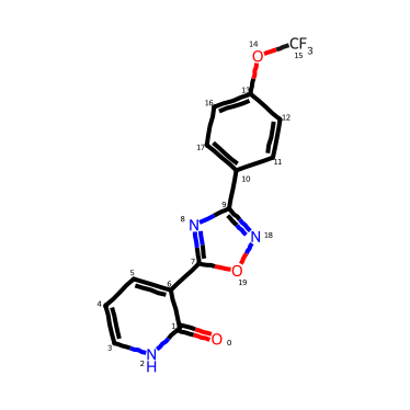 O=c1[nH]cccc1-c1nc(-c2ccc(OC(F)(F)F)cc2)no1